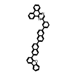 C1=C(c2ccc3cc(-c4ccc5cc(-c6cccc7c6oc6ccccc67)ccc5c4)ccc3c2)C=C(c2cnc3c4ccccc4c4ccccc4c3n2)CC1